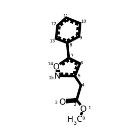 COC(=O)Cc1cc(-c2ccccc2)on1